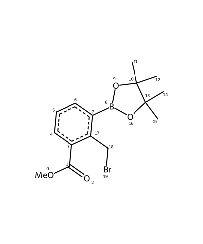 COC(=O)c1cccc(B2OC(C)(C)C(C)(C)O2)c1CBr